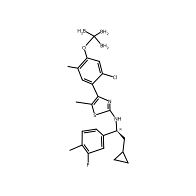 BC(B)(B)Oc1cc(Cl)c(-c2nc(N[C@@H](CC3CC3)c3ccc(C)c(F)c3)sc2C)cc1C